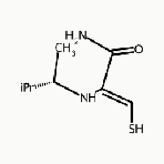 CC(C)[C@H](C)N/C(=C\S)C(N)=O